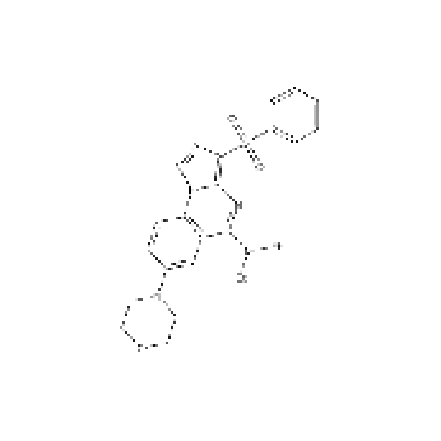 CCN(CC)c1nc2c(S(=O)(=O)c3ccccc3)nnn2c2ccc(N3CCOCC3)cc12